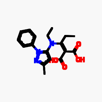 CCC(=C(C(=O)O)C(=O)O)N(CC)c1cc(C)nn1-c1ccccc1